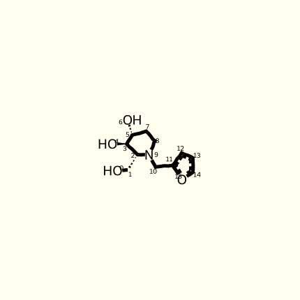 OC[C@@H]1[C@@H](O)[C@H](O)CCN1Cc1ccco1